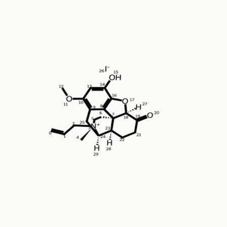 C=CC[N@+]1(C)CC[C@]23c4c5c(OC)cc(O)c4O[C@H]2C(=O)CC[C@H]3[C@H]1C5.[I-]